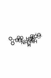 Cc1c(C)c(S(=O)(=O)NC(=N)NCCC[C@H](N)C(=O)OC(=O)OCC2c3ccccc3-c3ccccc32)c(C)c2c1OC(C)(C)CC2